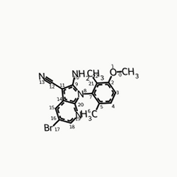 COc1ccc(C)c(-n2c(N)c(C#N)c3cc(Br)cnc32)c1C